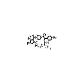 CC(C)NCC(C(=O)N1CCN(c2ncnc3c2[C@H](C)C[C@H]3F)CC1)c1ccc(Br)cc1